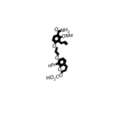 C=CCc1c(OCCCOc2ccc3c(c2CCC)OC(OC(=O)O)CC3)ccc(C(N)=O)c1OC